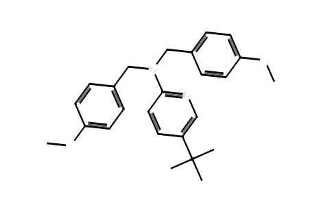 COc1ccc(CN(Cc2ccc(OC)cc2)c2ccc(C(C)(C)C)cn2)cc1